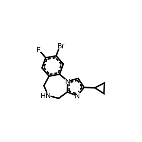 Fc1cc2c(cc1Br)-n1cc(C3CC3)nc1CNC2